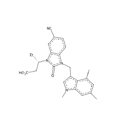 CC[C@@H](CC(=O)O)n1c(=O)n(Cc2cn(C)c3cc(C)cc(C)c23)c2ccc(C#N)cc21